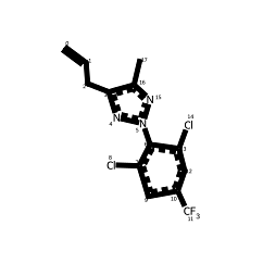 C=CCc1nn(-c2c(Cl)cc(C(F)(F)F)cc2Cl)nc1C